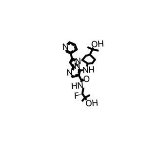 CC(C)(O)C1CCC(Nc2c(C(=O)NC[C@@H](F)C(C)(C)O)cnc3cc(-c4cccnc4)nn23)CC1